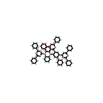 c1ccc(-c2cc(-c3cc(-c4nc(-c5ccccc5)cc(-c5ccccc5)n4)c(N4c5ccccc5N(c5nc(-c6ccccc6)nc(-c6ccccc6)n5)c5ccccc54)cc3-c3ccccc3)nc(-c3ccccc3)n2)cc1